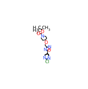 CC(C)(C)OC(=O)N1CCC(OCc2noc(-c3cnc(Cl)nc3)n2)CC1